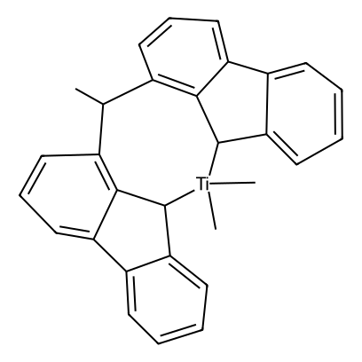 CC1c2cccc3c2[CH](c2ccccc2-3)[Ti]([CH3])([CH3])[CH]2c3ccccc3-c3cccc1c32